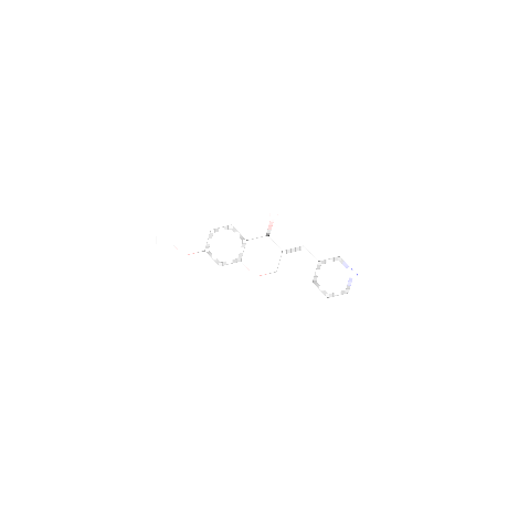 COc1ccc2c(c1)OCC(=Cc1cccnc1)C2=O